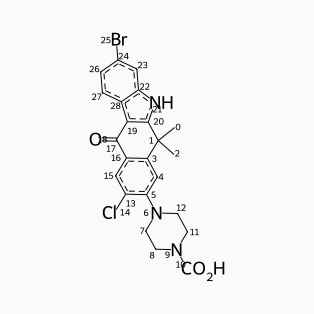 CC1(C)c2cc(N3CCN(C(=O)O)CC3)c(Cl)cc2C(=O)c2c1[nH]c1cc(Br)ccc21